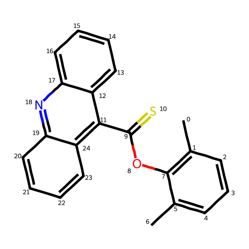 Cc1cccc(C)c1OC(=S)c1c2ccccc2nc2ccccc12